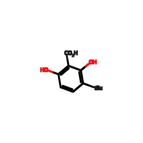 CC(C)(C)c1ccc(O)c(C(=O)O)c1O